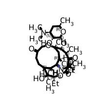 CCC(=O)/N=C1\[C@H](C)C[C@@]2(C)OCC(=O)CC[C@H]([C@H]1C)[C@](C)(O)[C@@H](CC)OC(=O)[C@@](C)(F)C(=O)[C@H](C)[C@H]2O[C@@H]1O[C@H](C)C[C@H](N(C)C)[C@H]1O